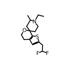 CCN1CCC2(CC1C)OCCc1cc(CC(F)F)sc12